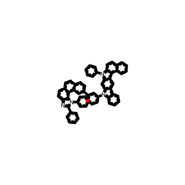 c1ccc(-c2nc3ccc4ccc5ccc(-c6cccc(-n7c8ccccc8c8cc9c%10c%11ccccc%11ccc%10n(-c%10ccccc%10)c9cc87)c6)cc5c4c3n2-c2ccccc2)cc1